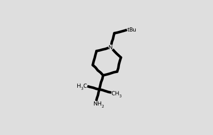 CC(C)(C)CN1CCC(C(C)(C)N)CC1